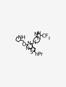 CCCc1cc2c(N3CCn4c(nnc4C(F)(F)F)C3)nc(OCC3CCCN3)nc2s1